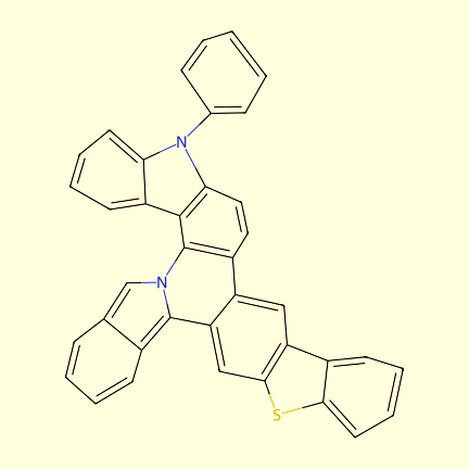 c1ccc(-n2c3ccccc3c3c2ccc2c4cc5c(cc4c4c6ccccc6cn4c23)sc2ccccc25)cc1